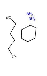 C1CCCCC1.N.N.N#CCCCCC#N